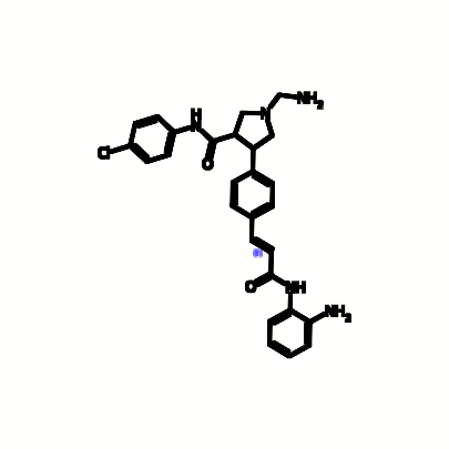 NCN1CC(C(=O)Nc2ccc(Cl)cc2)C(c2ccc(/C=C/C(=O)Nc3ccccc3N)cc2)C1